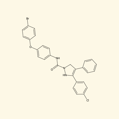 O=C(Nc1ccc(Oc2ccc(Br)cc2)cc1)N1CC(c2ccccc2)=C(c2ccc(Cl)cc2)N1